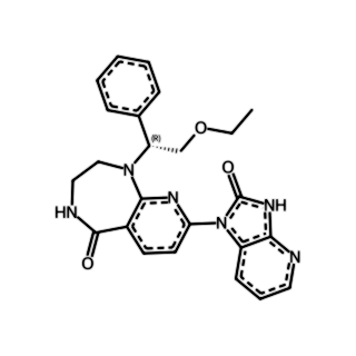 CCOC[C@@H](c1ccccc1)N1CCNC(=O)c2ccc(-n3c(=O)[nH]c4ncccc43)nc21